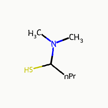 CCCC(S)N(C)C